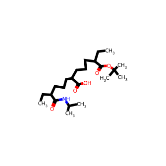 CCC(CCCC(CCCC(CC)C(=O)OC(C)(C)C)C(=O)O)C(=O)NC(C)C